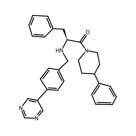 O=C([C@H](Cc1ccccc1)NCc1ccc(-c2cncnc2)cc1)N1CCC(c2ccccc2)CC1